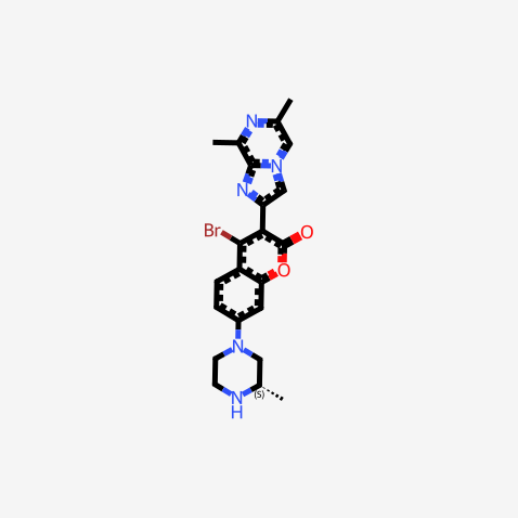 Cc1cn2cc(-c3c(Br)c4ccc(N5CCN[C@@H](C)C5)cc4oc3=O)nc2c(C)n1